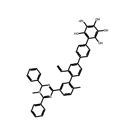 C=Cc1cc(-c2ccc(-c3c(O)c(O)c(O)c(CCC)c3O)cc2)ccc1-c1cc(C2=NC(c3ccccc3)N(C)C(c3ccccc3)=N2)ccc1C